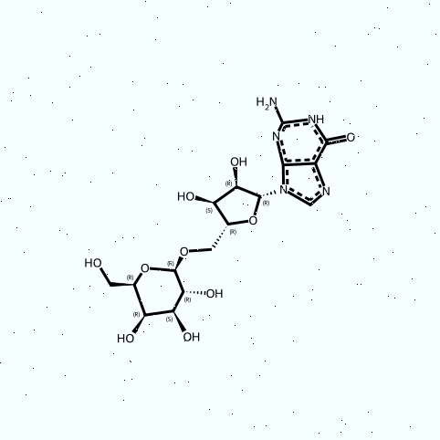 Nc1nc2c(ncn2[C@@H]2O[C@H](CO[C@@H]3O[C@H](CO)[C@H](O)[C@H](O)[C@H]3O)[C@@H](O)[C@H]2O)c(=O)[nH]1